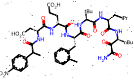 CCCC[C@H](NC(=O)[C@H](CC(C)C)NC(=O)[C@@H](NC(=O)[C@H](Cc1ccccc1C)NC(=O)[C@H](CCC(=O)O)NC(=O)[C@H](CC(=O)O)NC(=O)C(C)c1ccc([N+](=O)[O-])cc1)C(C)(C)C)C(=O)C(N)=O